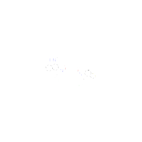 Cc1cc2c(c3c(C)csc13)[C@H](CCl)CN2C(=O)CCCC(=O)N1C[C@@H](CCl)c2c1cc(NC(C)(C)C)c1ccccc21